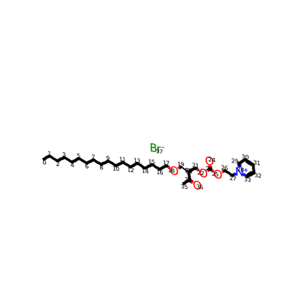 CCCCCCCCCCCCCCCCCCOC[C@@H](COC(=O)OCC[n+]1ccccc1)C(C)=O.[Br-]